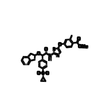 COC(=O)c1ccc(Oc2cnc(NC(=O)C(OC3Cc4ccccc4C3)c3ccc(S(=O)(=O)C4CC4)cc3)s2)cc1C